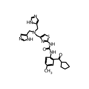 Cc1ccc(NC(=O)Nc2nc(CN(Cc3cnc[nH]3)Cc3cnc[nH]3)cs2)c(C(=O)C2CCCC2)c1